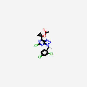 CC(=O)OC1(c2nc(Cl)nc3c2nnn3[C@H](C)c2ccc(Cl)cc2Cl)CC1